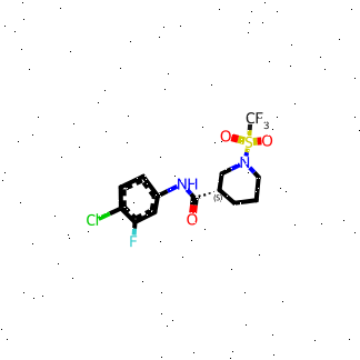 O=C(Nc1ccc(Cl)c(F)c1)[C@H]1CCCN(S(=O)(=O)C(F)(F)F)C1